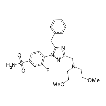 COCCN(CCOC)Cc1nc(Cc2ccccc2)n(-c2ccc(S(N)(=O)=O)cc2F)n1